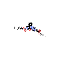 CCCCOC(=O)N1CCC(NC(=O)N2CCN(CCC(=O)OCC)CC2)(c2ccccc2)CC1